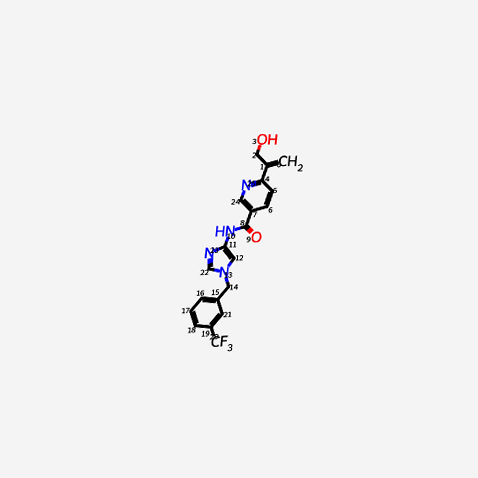 C=C(CO)c1ccc(C(=O)Nc2cn(Cc3cccc(C(F)(F)F)c3)cn2)cn1